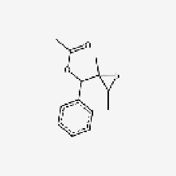 CC(=O)OC(c1ccccc1)C1(C)SC1C